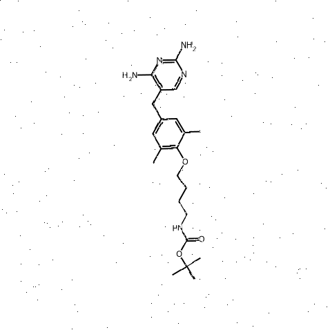 Cc1cc(Cc2cnc(N)nc2N)cc(C)c1OCCCCNC(=O)OC(C)(C)C